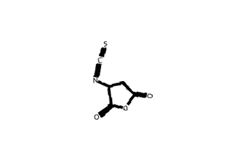 O=C1CC(N=C=S)C(=O)O1